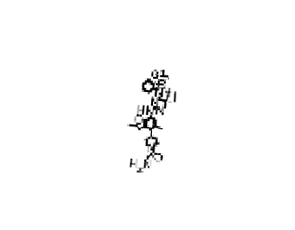 Cc1cc(Nc2ncc(Cl)c(Nc3ccccc3S(=O)(=O)C(C)C)n2)c2c(c1C1CCN(C(=O)CN)CC1)CC(C)O2